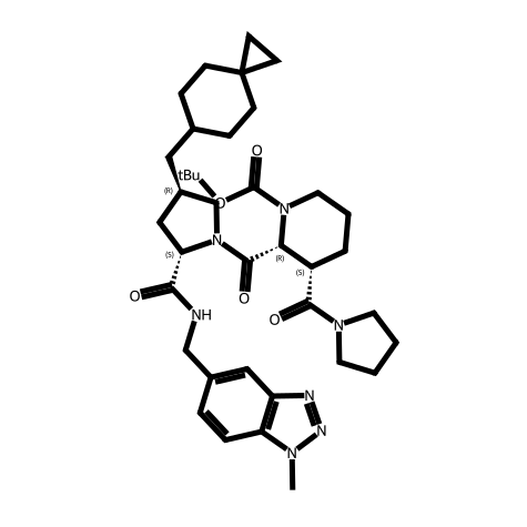 Cn1nnc2cc(CNC(=O)[C@@H]3C[C@@H](CC4CCC5(CC4)CC5)CN3C(=O)[C@H]3[C@@H](C(=O)N4CCCC4)CCCN3C(=O)OC(C)(C)C)ccc21